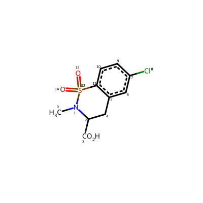 CN1C(C(=O)O)Cc2cc(Cl)ccc2S1(=O)=O